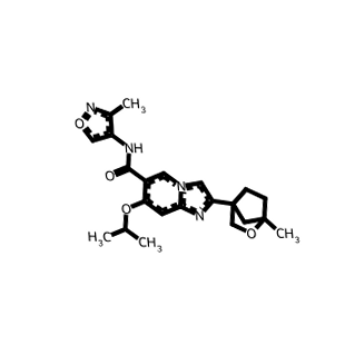 Cc1nocc1NC(=O)c1cn2cc(C34CCC(C)(C3)OC4)nc2cc1OC(C)C